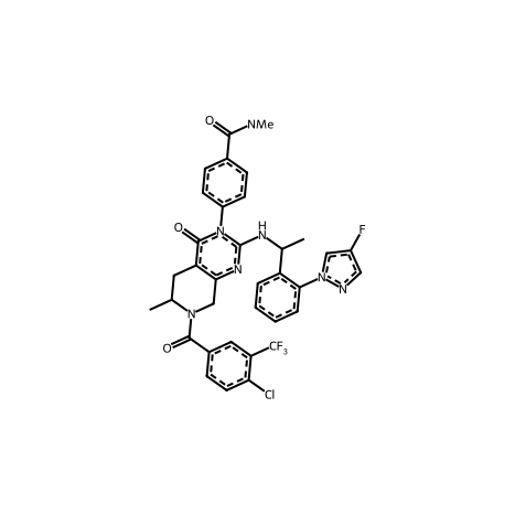 CNC(=O)c1ccc(-n2c(NC(C)c3ccccc3-n3cc(F)cn3)nc3c(c2=O)CC(C)N(C(=O)c2ccc(Cl)c(C(F)(F)F)c2)C3)cc1